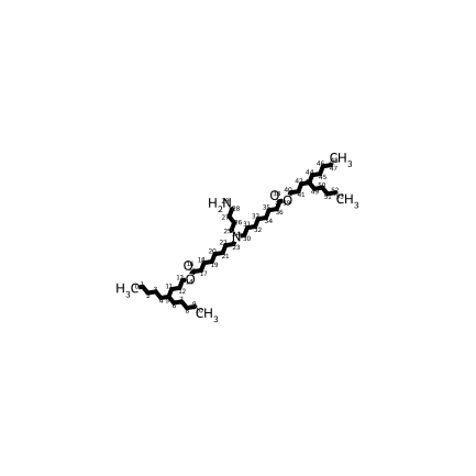 CCCCCC(CCCCC)CCCOC(=O)CCCCCCCN(CCCCN)CCCCCCCC(=O)OCCCC(CCCCC)CCCCC